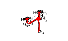 CCCCCCCCCCCCCCCCCC#CCCc1ccccc1N=C(CCCC)C(CCCCCC)=Nc1ccccc1CCC#CCCCCCCCCCCCCCCCCC.CCCCCc1cc(O)c(O)c(C(=O)[O-])c1CCC.CCCCCc1cc(O)c(O)c(C(=O)[O-])c1CCC.[Ni+2]